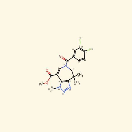 CC(C)OC(=O)C1=CN(C(=O)c2ccc(F)c(F)c2)CC(C)(C)c2nnn(C)c21